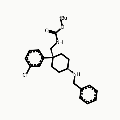 CC(C)(C)OC(=O)NC[C@]1(c2cccc(Cl)c2)CC[C@H](NCc2ccccc2)CC1